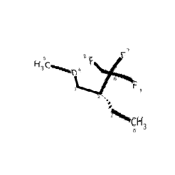 CC[C@H](COC)C(F)(F)F